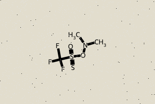 CN(C)OS(=O)(=S)C(F)(F)F